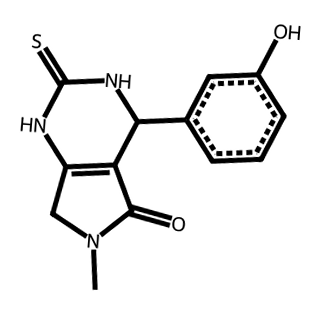 CN1CC2=C(C1=O)C(c1cccc(O)c1)NC(=S)N2